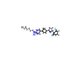 CCCCCNc1ncc(-c2ccc(C3CCC(c4c(F)cccc4F)=N3)cc2)cn1